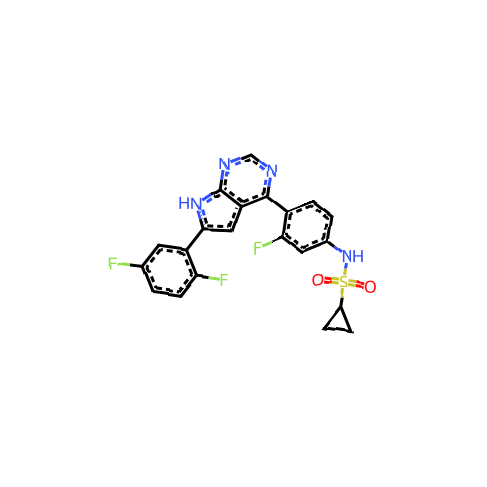 O=S(=O)(Nc1ccc(-c2ncnc3[nH]c(-c4cc(F)ccc4F)cc23)c(F)c1)C1CC1